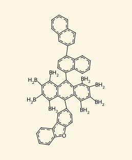 Bc1c(B)c(B)c2c(-c3ccc(-c4ccc5ccccc5c4)c4ccccc34)c3c(B)c(B)c(B)c(B)c3c(-c3ccc4oc5ccccc5c4c3)c2c1B